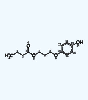 CCCC(=O)OCCCOc1ccc(O)cc1